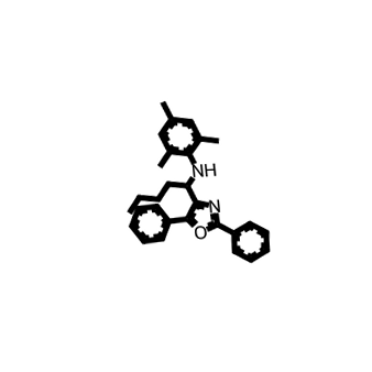 CCCCC(Nc1c(C)cc(C)cc1C)c1nc(-c2ccccc2)oc1-c1ccccc1